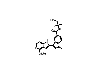 COc1ncnc2[nH]c(-c3cn(C)c4ccc(C(=O)NC(C)(C)CO)cc34)cc12